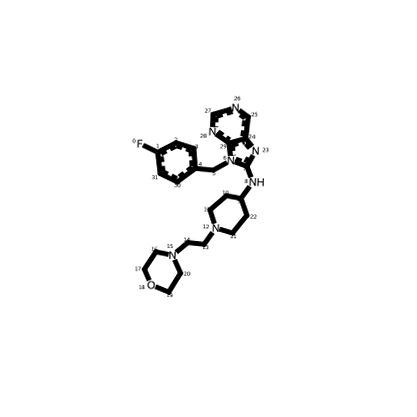 Fc1ccc(Cn2c(NC3CCN(CCN4CCOCC4)CC3)nc3cncnc32)cc1